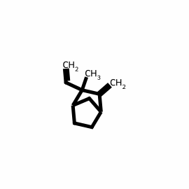 C=CC1(C)C(=C)C2CCC1C2